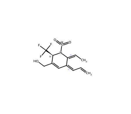 C=C/C=C1/C=C(CO)[C@@H](C(F)(F)F)N([SH](=O)=O)/C1=C/C